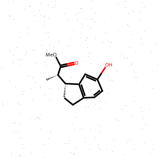 COC(=O)[C@@H](C)[C@H]1CCc2ccc(O)cc21